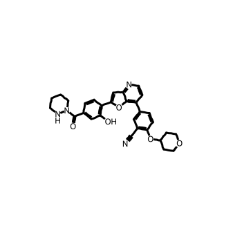 N#Cc1cc(-c2ccnc3cc(-c4ccc(C(=O)N5CCCCN5)cc4O)oc23)ccc1OC1CCOCC1